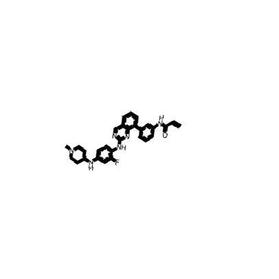 C=CC(=O)Nc1cccc(-c2cccc3cnc(Nc4ccc(NC5CCN(C)CC5)cc4F)nc23)c1